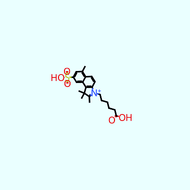 CC1=[N+](CCCCCC(=O)O)c2ccc3c(C)cc(S(=O)(=O)O)cc3c2C1(C)C